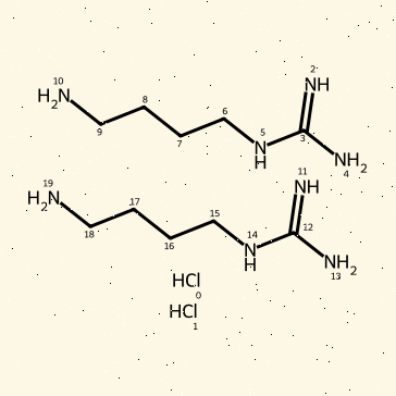 Cl.Cl.N=C(N)NCCCCN.N=C(N)NCCCCN